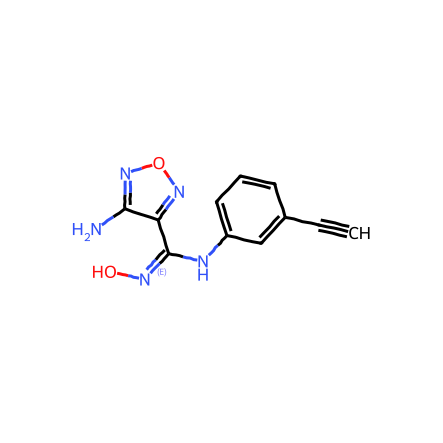 C#Cc1cccc(N/C(=N/O)c2nonc2N)c1